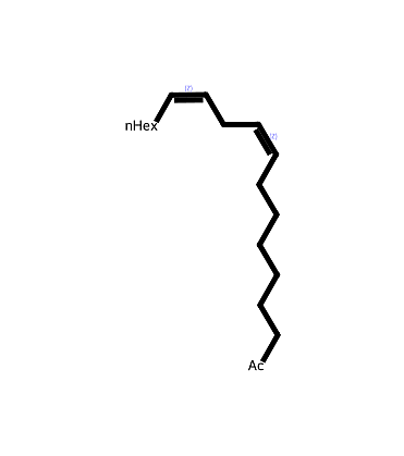 CCCCCC/C=C\C/C=C\CCCCCCC(C)=O